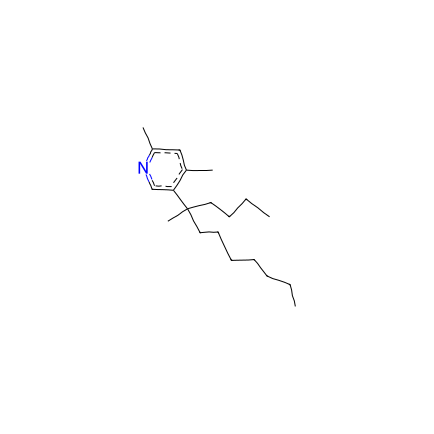 CCCCCCCC(C)(CCCC)c1cnc(C)cc1C